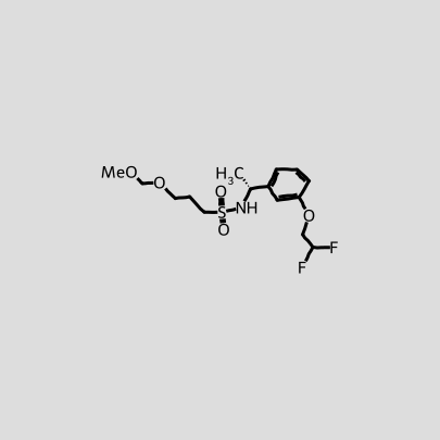 COCOCCCS(=O)(=O)N[C@H](C)c1cccc(OCC(F)F)c1